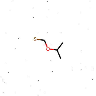 CC(C)OC[S]